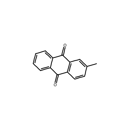 Cc1ccc2c(c1)C(=O)c1ccccc1C2=O